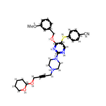 COc1cccc(COc2nc(N3CCN(CC#CCOC4CCCCO4)CC3)ncc2Sc2ccc(C#N)cc2)c1